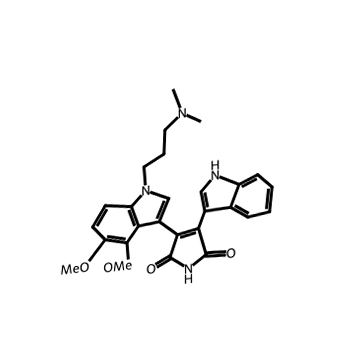 COc1ccc2c(c(C3=C(c4c[nH]c5ccccc45)C(=O)NC3=O)cn2CCCN(C)C)c1OC